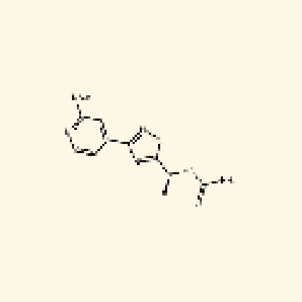 CNc1cc(-c2noc([C@H](C)OC(N)=O)n2)ccn1